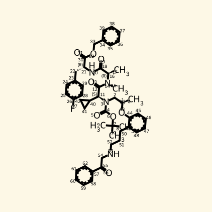 C[C@H](CN(C(=O)OC(C)(C)C)[C@H](C(=O)N(C)[C@H](C)C(=O)N[C@H](Cc1ccc(F)cc1)C(=O)OCc1ccccc1)C1CC1)Oc1ccccc1CCCNCC(=O)c1ccccc1